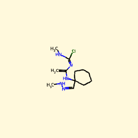 C=C(/N=C(/Cl)NC)NC1(/C=N\NC)CCCCC1